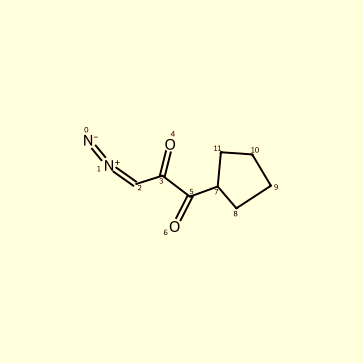 [N-]=[N+]=CC(=O)C(=O)C1CCCC1